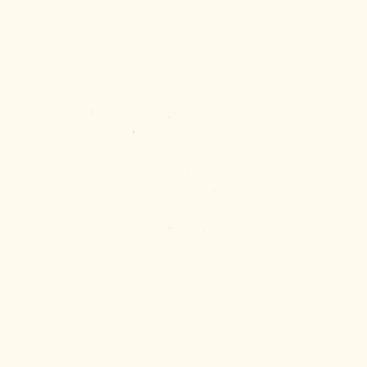 CCCC(O)C(CC)COCC(CC)C(O)CCC